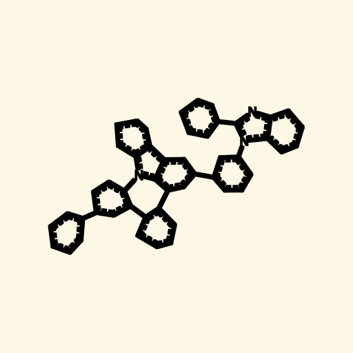 c1ccc(-c2ccc3c(c2)-c2ccccc2-c2cc(-c4cccc(-n5c(-c6ccccc6)nc6ccccc65)c4)cc4c5ccccc5n-3c24)cc1